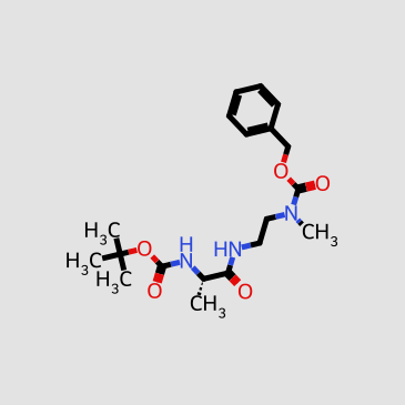 C[C@H](NC(=O)OC(C)(C)C)C(=O)NCCN(C)C(=O)OCc1ccccc1